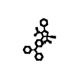 N#CC1(C(N)=O)C=C(c2ccccc2)C([N+](=O)[O-])C1c1ccc(N(c2ccccc2)c2ccccc2)cc1